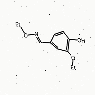 CCON=Cc1ccc(O)c(OCC)c1